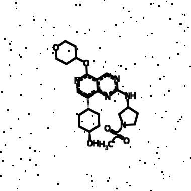 CS(=O)(=O)N1CC[C@H](Nc2ncc3c(OC4CCOCC4)ncc([C@H]4CC[C@H](O)CC4)c3n2)C1